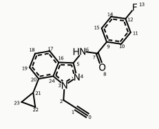 C#CCn1nc(NC(=O)c2ccc(F)cc2)c2cccc(C3CC3)c21